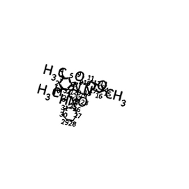 Cc1cc(C)cc(N2C(=O)c3cc4oc(C)cc4n3CC2(C)C(=O)NC2CCCCCC2)c1